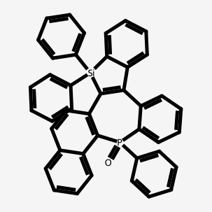 O=P1(c2ccccc2)c2ccccc2C2=C(c3ccc4ccccc4c31)[Si](c1ccccc1)(c1ccccc1)c1ccccc12